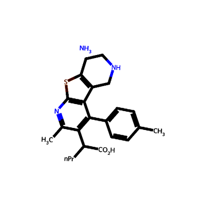 CCCC(C(=O)O)c1c(C)nc2sc3c(c2c1-c1ccc(C)cc1)CNCC3.N